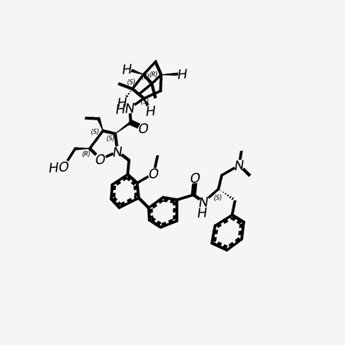 CC[C@@H]1[C@H](CO)ON(Cc2cccc(-c3cccc(C(=O)N[C@@H](Cc4ccccc4)CN(C)C)c3)c2OC)[C@@H]1C(=O)N[C@H]1C[C@H]2C[C@@H]([C@@H]1C)C2(C)C